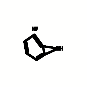 F.c1ccc2c(c1)N2